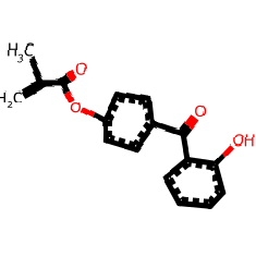 C=C(C)C(=O)Oc1ccc(C(=O)c2ccccc2O)cc1